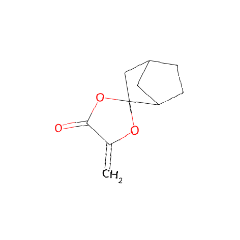 C=C1OC2(CC3CCC2C3)OC1=O